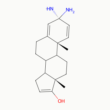 C[C@]12C=C[C@]([NH])(N)C=C1CCC1C2CC[C@]2(C)C(O)=CCC12